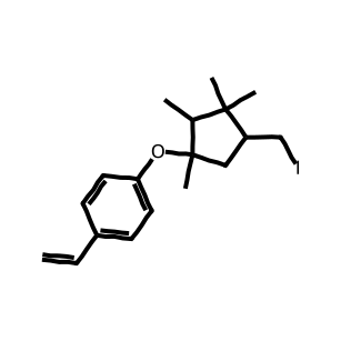 C=Cc1ccc(OC2(C)CC(CI)C(C)(C)C2C)cc1